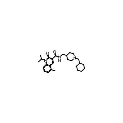 Cc1cccc2c1cc(C(=O)NCC1CCN(CC3CCCCC3)CC1)c(=O)n2C(C)C